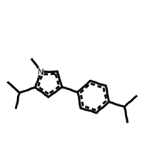 CC(C)c1ccc(-c2cc(C(C)C)n(C)c2)cc1